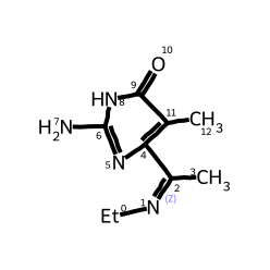 CC/N=C(/C)c1nc(N)[nH]c(=O)c1C